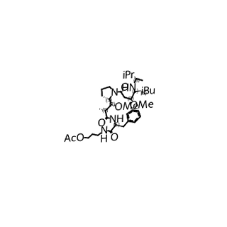 CC[C@H](C)[C@H](N[C@@H](C)C(C)C)[C@@H](CC(=O)N1CCC[C@H]1[C@H](OC)[C@@H](C)C(=O)N[C@@H](Cc1ccccc1)C(=O)NCCCOC(C)=O)OC